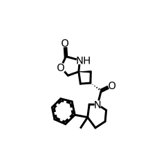 CC1(c2ccccc2)CCCN(C(=O)[C@H]2C[C@]3(COC(=O)N3)C2)C1